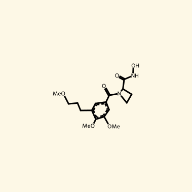 COCCCc1cc(C(=O)N2CCC2C(=O)NO)cc(OC)c1OC